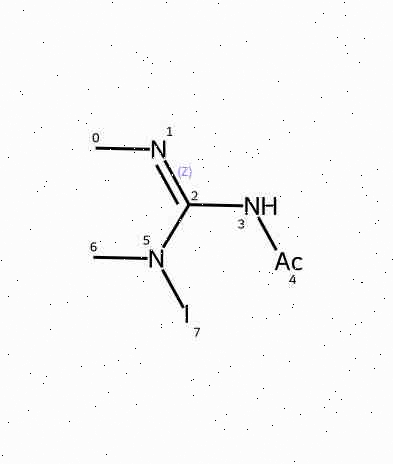 C/N=C(/NC(C)=O)N(C)I